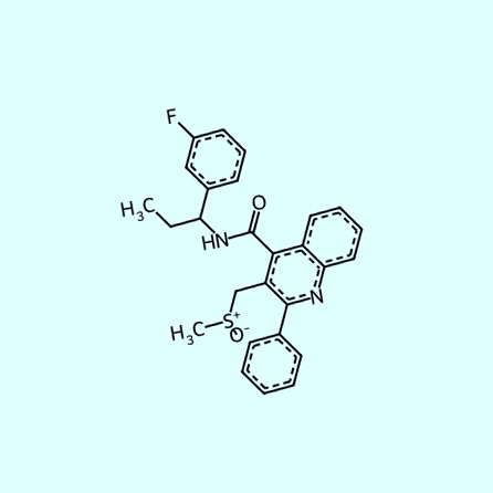 CCC(NC(=O)c1c(C[S+](C)[O-])c(-c2ccccc2)nc2ccccc12)c1cccc(F)c1